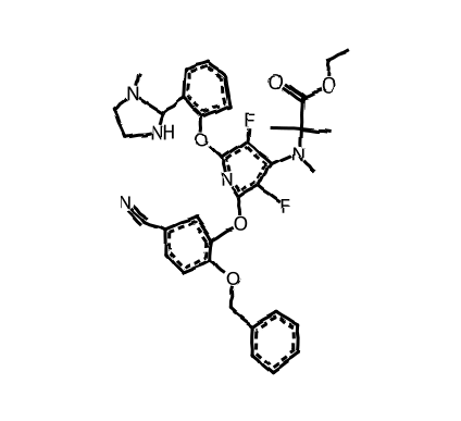 CCOC(=O)C(C)(C)N(C)c1c(F)c(Oc2cc(C#N)ccc2OCc2ccccc2)nc(Oc2ccccc2C2NCCN2C)c1F